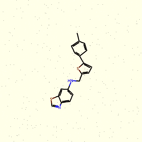 Cc1ccc(-c2ccc(CNc3ccc4ncsc4c3)s2)cc1